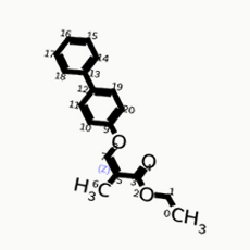 CCOC(=O)/C(C)=C\Oc1ccc(-c2ccccc2)cc1